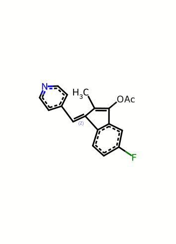 CC(=O)OC1=C(C)/C(=C\c2ccncc2)c2ccc(F)cc21